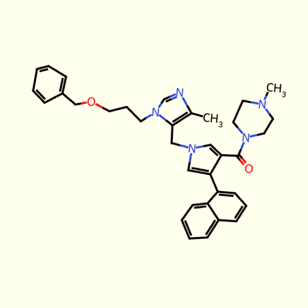 Cc1ncn(CCCOCc2ccccc2)c1Cn1cc(C(=O)N2CCN(C)CC2)c(-c2cccc3ccccc23)c1